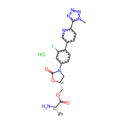 CC(C)[C@H](N)C(=O)OC[C@H]1CN(c2ccc(-c3ccc(-c4nnnn4C)nc3)c(F)c2)C(=O)O1.Cl